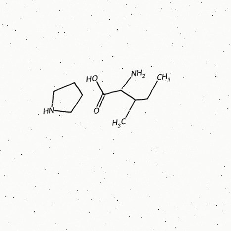 C1CCNC1.CCC(C)C(N)C(=O)O